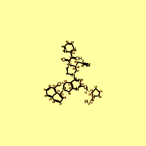 C=C(C(=O)N1CCN(c2nc(OC[C@@H]3CCCN3C)nc3c2CCN(c2cccc4cccc(Cl)c24)C3)C[C@@H]1CC#N)c1ncccn1